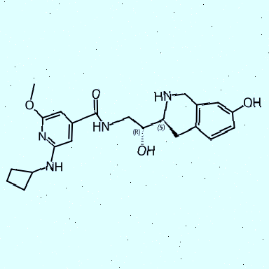 COc1cc(C(=O)NC[C@@H](O)[C@@H]2Cc3ccc(O)cc3CN2)cc(NC2CCC2)n1